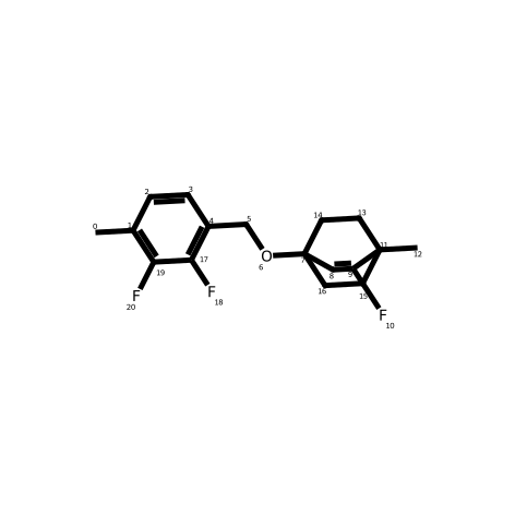 Cc1ccc(COC23C=C(F)C(C)(CC2)CC3)c(F)c1F